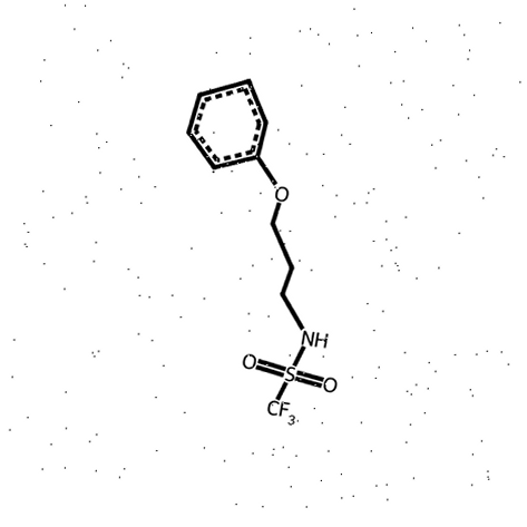 O=S(=O)(NCCCOc1[c]cccc1)C(F)(F)F